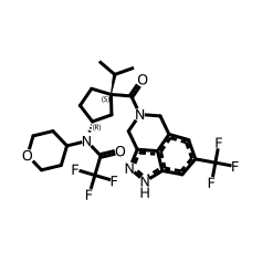 CC(C)[C@]1(C(=O)N2Cc3cc(C(F)(F)F)cc4[nH]nc(c34)C2)CC[C@@H](N(C(=O)C(F)(F)F)C2CCOCC2)C1